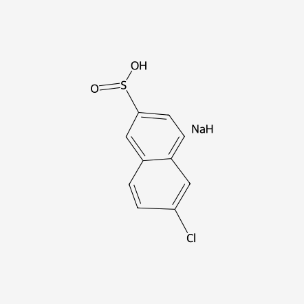 O=S(O)c1ccc2cc(Cl)ccc2c1.[NaH]